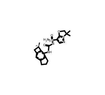 C[C@@H]1Cc2cc3c(c(NC(=O)N=[S@@](N)(=O)c4cnn5c4OCC5(C)C)c21)CCC3